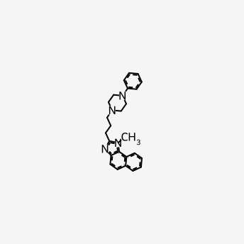 Cn1c(CCCN2CCN(c3ccccc3)CC2)nc2ccc3ccccc3c21